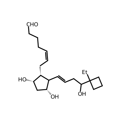 CCC1(C(O)C/C=C/C2[C@H](O)C[C@H](O)[C@@H]2C/C=C\CCCC=O)CCC1